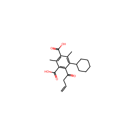 C=CCC(=O)c1c(C(=O)O)c(C)c(C(=O)O)c(C)c1C1CCCCC1